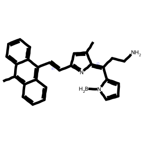 Bn1cccc1/C(CCN)=C1N=C(/C=C/c2c3ccccc3c(C)c3ccccc23)C=C\1C